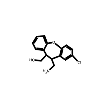 NCC1c2cc(Cl)ccc2Oc2ccccc2C1CO